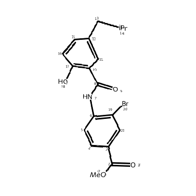 COC(=O)c1ccc(NC(=O)c2cc(CC(C)C)ccc2O)c(Br)c1